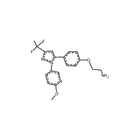 COc1ccc(-n2nc(C(C)(F)F)cc2-c2ccc(OCCN)cc2)cn1